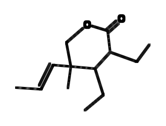 C/C=C/C1(C)COC(=O)C(CC)C1CC